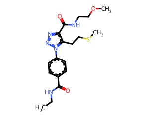 CCNC(=O)c1ccc(-n2nnc(C(=O)NCCOC)c2CCSC)cc1